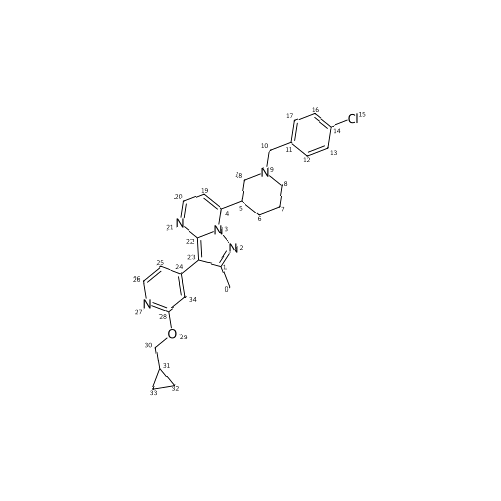 Cc1nn2c(C3CCCN(Cc4ccc(Cl)cc4)C3)ccnc2c1-c1ccnc(OCC2CC2)c1